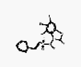 O=S(=O)(C=Cc1ccccc1)N(F)N1c2c(cc(F)c(F)c2F)SC1F